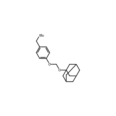 CC(C)(C)Cc1ccc(OCOC23CC4CC(CC(C4)C2)C3)cc1